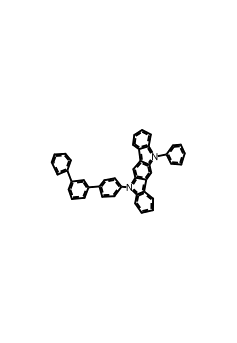 c1ccc(-c2cccc(-c3ccc(-n4c5ccccc5c5cc6c(cc54)c4ccccc4n6-c4ccccc4)cc3)c2)cc1